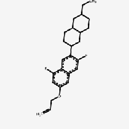 C=CCOc1cc(F)c2cc(C3CCC4CC(CC)CCC4C3)c(F)cc2c1